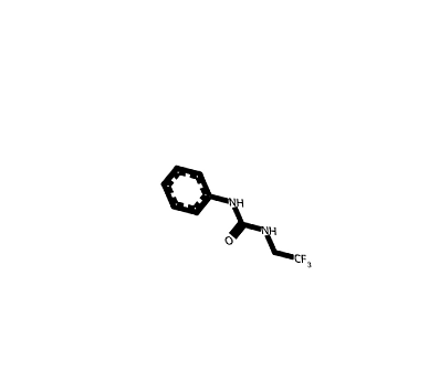 O=C(NCC(F)(F)F)Nc1ccccc1